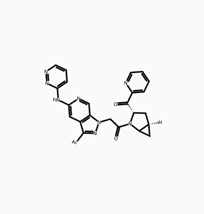 CC(=O)c1nn(CC(=O)N2C3C[C@@H]3C[C@H]2C(=O)c2ccccn2)c2cnc(Nc3cccnn3)cc12